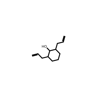 C=CCC1CCCC(CC=C)C1O